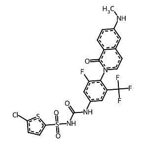 CNc1ccc2c(=O)n(-c3c(F)cc(NC(=O)NS(=O)(=O)c4ccc(Cl)s4)cc3C(F)(F)F)ccc2c1